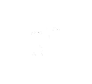 CCCCCCCC(CCCCC)OCC[C@H](C)C(=O)OC(C)C